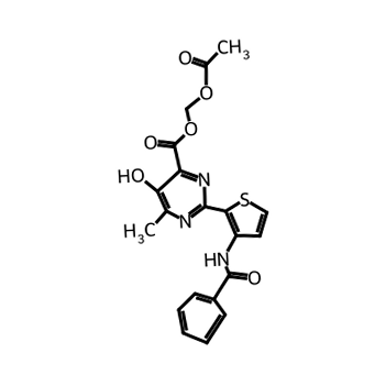 CC(=O)OCOC(=O)c1nc(-c2sccc2NC(=O)c2ccccc2)nc(C)c1O